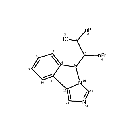 CCCC(O)C(CCC)C1c2ccccc2-c2cncn21